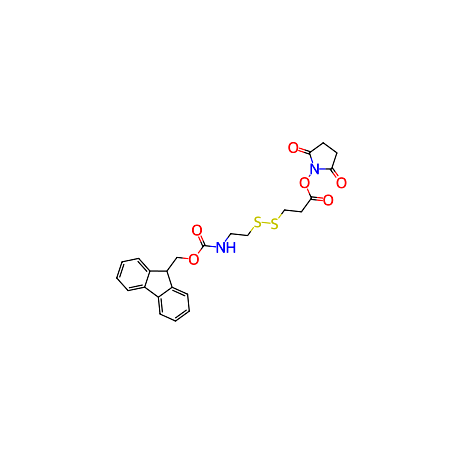 O=C(CCSSCCNC(=O)OCC1c2ccccc2-c2ccccc21)ON1C(=O)CCC1=O